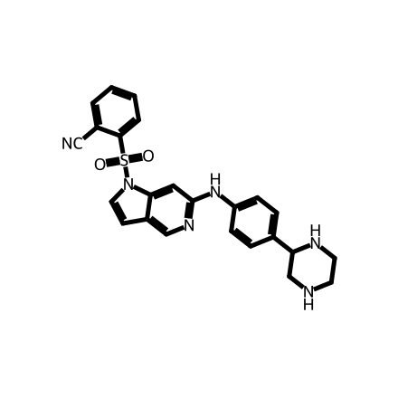 N#Cc1ccccc1S(=O)(=O)n1ccc2cnc(Nc3ccc(C4CNCCN4)cc3)cc21